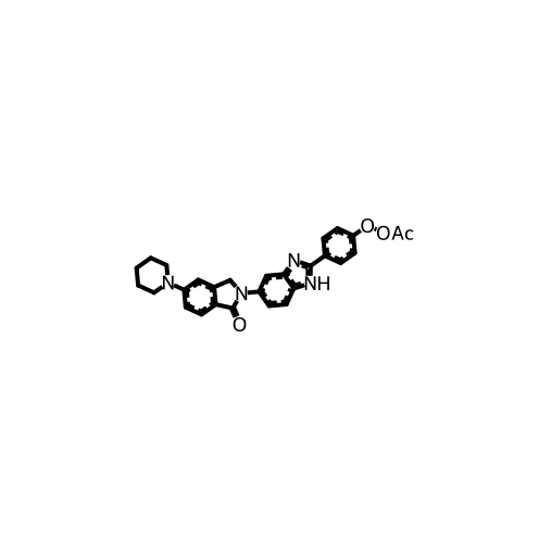 CC(=O)OOc1ccc(-c2nc3cc(N4Cc5cc(N6CCCCC6)ccc5C4=O)ccc3[nH]2)cc1